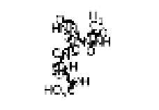 Cc1cn(CC(Cn2ccc(=O)[nH]c2=O)OC(=O)CNC(=O)C(CS)NC(=O)CCC(O)C(=O)O)c(=O)[nH]c1=O